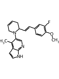 COc1ccc(C=CC2CC=CCN2c2cnc3[nH]ccc3c2C)cc1F